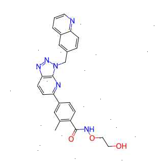 Cc1cc(-c2ccc3nnn(Cc4ccc5ncccc5c4)c3n2)ccc1C(=O)NOCCO